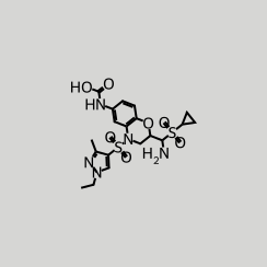 CCn1cc(S(=O)(=O)N2CC(C(N)S(=O)(=O)C3CC3)Oc3ccc(NC(=O)O)cc32)c(C)n1